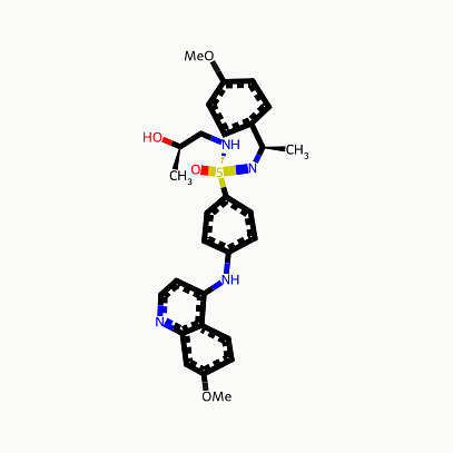 COc1ccc([C@@H](C)N=[S@@](=O)(NC[C@@H](C)O)c2ccc(Nc3ccnc4cc(OC)ccc34)cc2)cc1